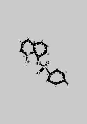 Cc1ccc(S(=O)(=O)Nc2cccc3ccc[n+](O)c23)cc1